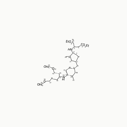 CCOC(=O)CC(NC1CCC(CC2CCC(NC(CCCOC=O)CCOC=O)C(C)C2)CC1C)C(=O)OCC